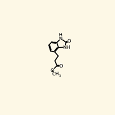 COC(=O)CCc1cccc2[nH]c(=O)[nH]c12